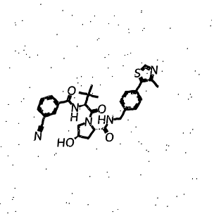 Cc1ncsc1-c1ccc(CNC(=O)[C@@H]2C[C@@H](O)CN2C(=O)[C@@H](NC(=O)c2cccc(C#N)c2)C(C)(C)C)cc1